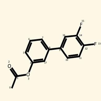 CC(=O)Oc1cccc(-c2ccc(F)c(F)c2)c1